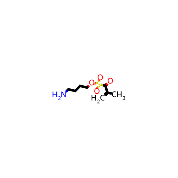 C=C(C)C(=O)S(=O)(=O)OCCCCN